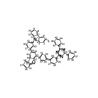 Cc1ccc2c(c1)c1ccccc1n2-c1cccc(-c2cc(-c3ccc(-c4cccc(-c5nc(-c6ccccc6)nc(-c6ccccc6)n5)c4)cc3)c3oc4ccccc4c3c2)c1